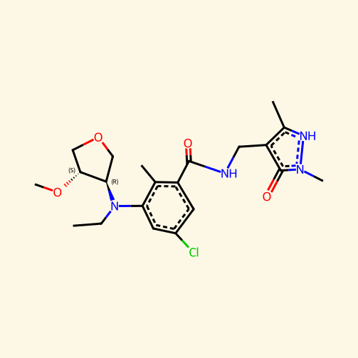 CCN(c1cc(Cl)cc(C(=O)NCc2c(C)[nH]n(C)c2=O)c1C)[C@@H]1COC[C@H]1OC